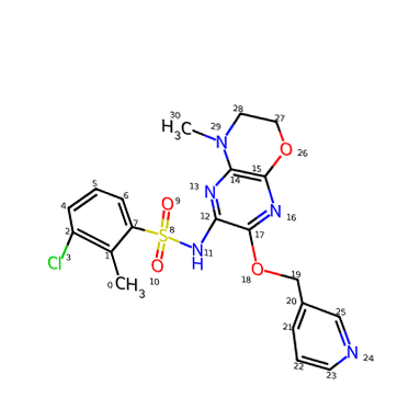 Cc1c(Cl)cccc1S(=O)(=O)Nc1nc2c(nc1OCc1cccnc1)OCCN2C